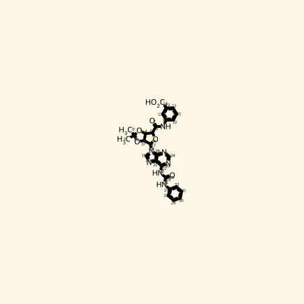 CC1(C)OC2C(C(=O)Nc3cccc(C(=O)O)c3)OC(n3cnc4c(NC(=O)Nc5ccccc5)ncnc43)C2O1